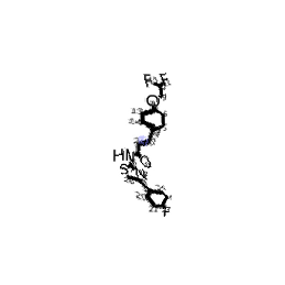 O=C(/C=C/c1ccc(OCC(F)F)cc1)Nc1nc(-c2ccc(F)cc2)cs1